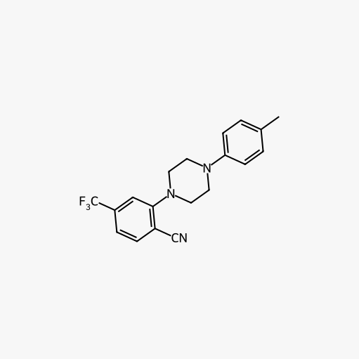 Cc1ccc(N2CCN(c3cc(C(F)(F)F)ccc3C#N)CC2)cc1